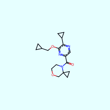 O=C(c1cnc(C2CC2)c(OCC2CC2)n1)N1CCOCC12CC2